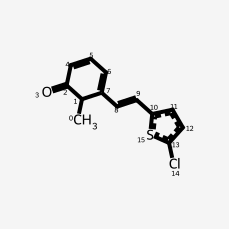 CC1C(=O)C=CC=C1/C=C/c1ccc(Cl)s1